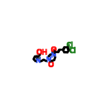 O=C(C=Cc1ccc(Cl)c(Cl)c1)N1CCC(=O)N(CCCN2CCC[C@H]2CO)CC1